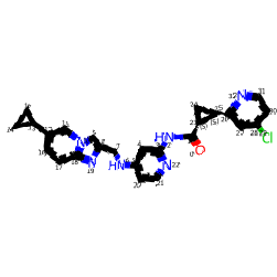 O=C(Nc1cc(NCc2cn3cc(C4CC4)ccc3n2)ccn1)[C@H]1C[C@@H]1c1cc(Cl)ccn1